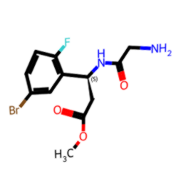 COC(=O)C[C@H](NC(=O)CN)c1cc(Br)ccc1F